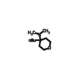 CCCCC1(N(C)C)CCOCC1